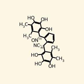 Cc1c(C)c([C@H](C#N)c2ccccc2[C@H](N=O)c2c(C)c(C)c(O)c(O)c2O)c(O)c(O)c1O